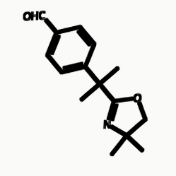 CC1(C)COC(C(C)(C)c2ccc(C=O)cc2)=N1